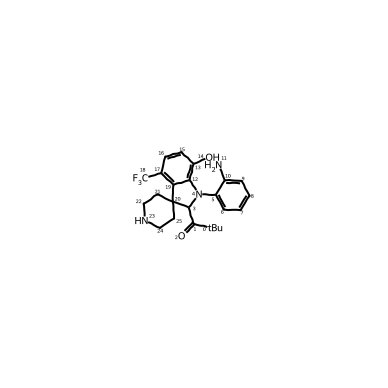 CC(C)(C)C(=O)C1N(c2ccccc2N)c2c(O)ccc(C(F)(F)F)c2C12CCNCC2